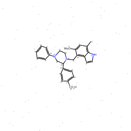 COc1cc(C)c2[nH]ccc2c1CN1CCN(c2ccccc2)CC1c1ccc(C(=O)O)cc1